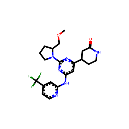 COCC1CCCN1c1nc(Nc2cc(C(F)(F)F)ccn2)cc(C2CCNC(=O)C2)n1